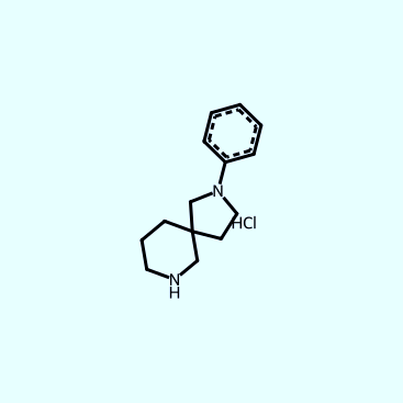 Cl.c1ccc(N2CCC3(CCCNC3)C2)cc1